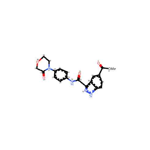 COC(=O)c1ccc2[nH]nc(C(=O)Nc3ccc(N4CCOCC4=O)cc3)c2c1